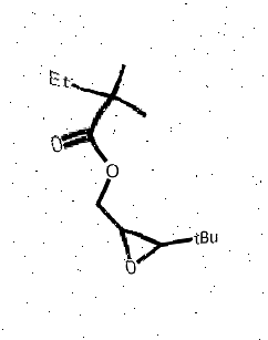 CCC(C)(C)C(=O)OCC1OC1C(C)(C)C